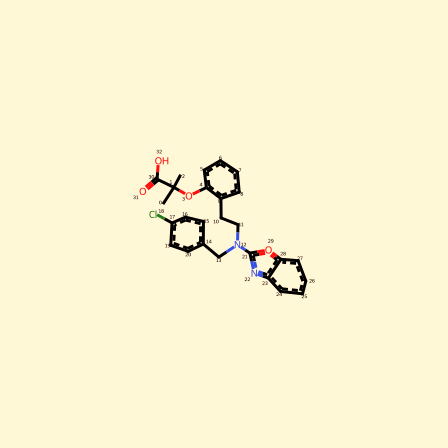 CC(C)(Oc1ccccc1CCN(Cc1ccc(Cl)cc1)c1nc2ccccc2o1)C(=O)O